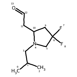 C[C](C)CN1CC(F)(F)CC1CC=O